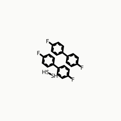 Fc1ccc(-c2ccc(F)cc2)cc1.Fc1ccc(-c2ccc(F)cc2)cc1.SS